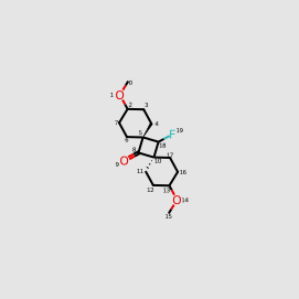 COC1CC[C@]2(CC1)C(=O)[C@@]1(CCC(OC)CC1)C2F